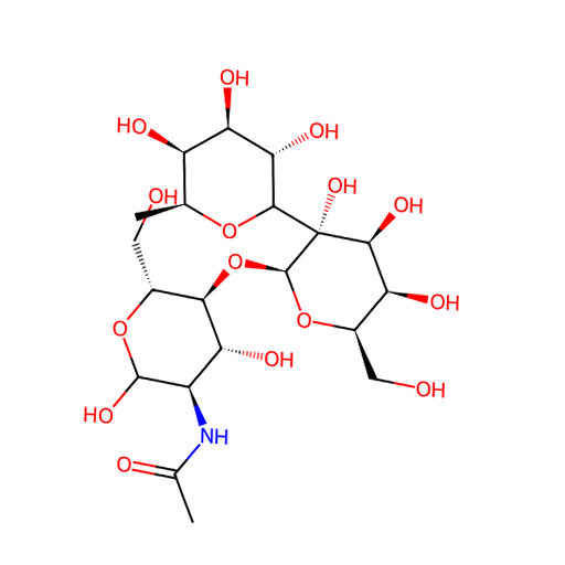 CC(=O)N[C@H]1C(O)O[C@H](CO)[C@@H](O[C@@H]2O[C@H](CO)[C@H](O)[C@H](O)[C@]2(O)C2O[C@@H](C)[C@@H](O)[C@@H](O)[C@@H]2O)[C@@H]1O